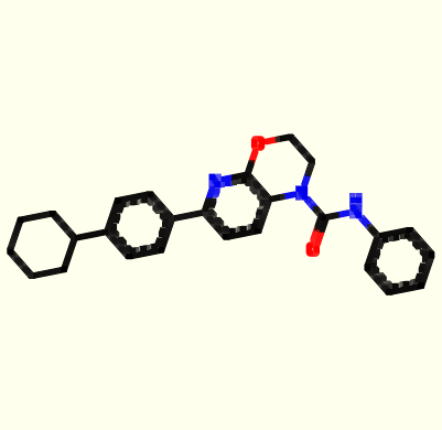 O=C(Nc1ccccc1)N1CCOc2nc(-c3ccc(C4CCCCC4)cc3)ccc21